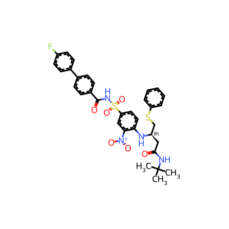 CC(C)(C)NC(=O)C[C@H](CSc1ccccc1)Nc1ccc(S(=O)(=O)NC(=O)c2ccc(-c3ccc(F)cc3)cc2)cc1[N+](=O)[O-]